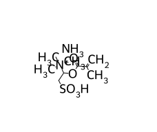 C=C(C)C(=O)OC(CS(=O)(=O)O)[N+](C)(C)C.N